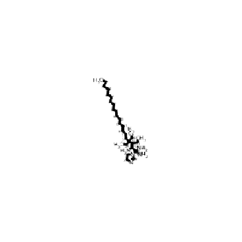 CCCCCCCCCCCCCCCCCC(CC)(CC)C(CC)=C(N)C(N)(N)N1C=NCC1